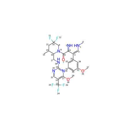 CN/C=C(\C(=N)C(=O)N1CC(F)(F)CC(C)C1CNc1ncc(C(F)(F)F)c(OC)n1)c1cccc(OC)c1